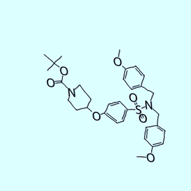 COc1ccc(CN(Cc2ccc(OC)cc2)S(=O)(=O)c2ccc(OC3CCN(C(=O)OC(C)(C)C)CC3)cc2)cc1